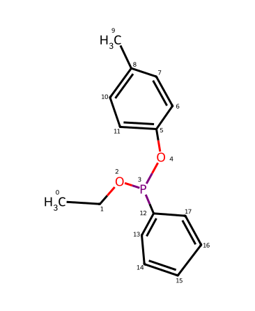 CCOP(Oc1ccc(C)cc1)c1ccccc1